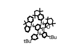 CC(C)(C)c1ccc(N2c3ccc(C(C)(C)C)cc3B3c4oc5c(c4N(c4ccc6c(c4)C(C)(C)CCC6(C)C)c4cc(N6c7ccccc7C(C)(C)c7ccccc76)cc2c43)C(C)(C)CCC5(C)C)cc1